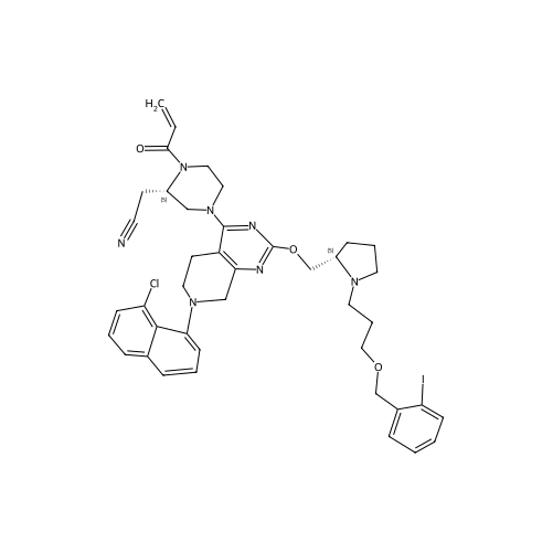 C=CC(=O)N1CCN(c2nc(OC[C@@H]3CCCN3CCCOCc3ccccc3I)nc3c2CCN(c2cccc4cccc(Cl)c24)C3)C[C@@H]1CC#N